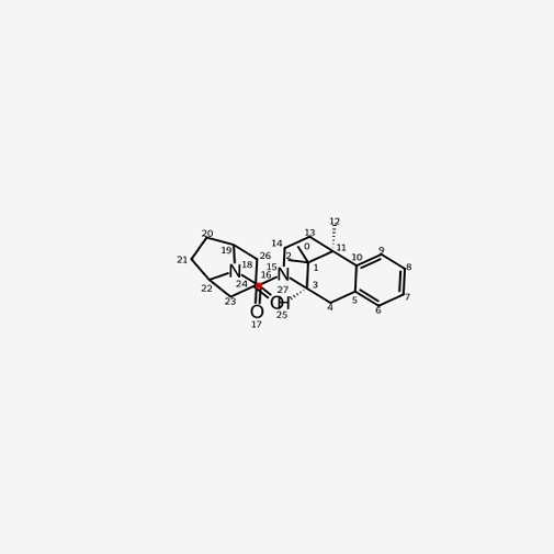 CC1(C)[C@H]2Cc3ccccc3[C@]1(C)CCN2C(=O)N1C2CCC1CC(=O)C2